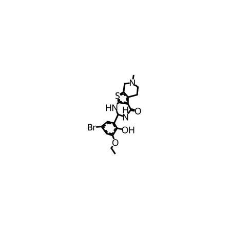 CCOc1cc(Br)cc(C2NC(=O)c3c(sc4c3CCN(C)C4)N2)c1O